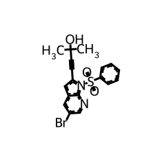 CC(C)(O)C#Cc1cc2cc(Br)cnc2n1S(=O)(=O)c1ccccc1